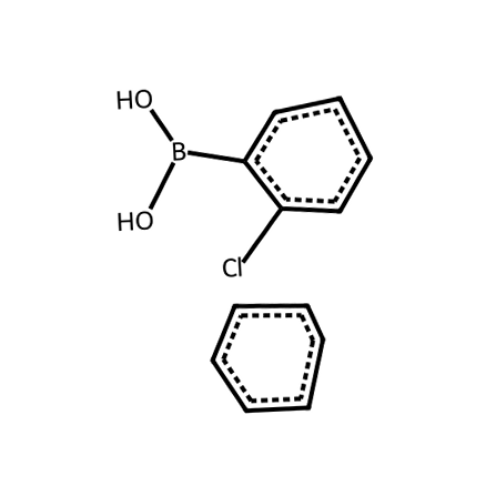 OB(O)c1ccccc1Cl.c1ccccc1